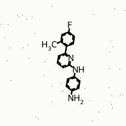 Cc1cc(F)ccc1-c1cccc(Nc2ccc(N)cc2)n1